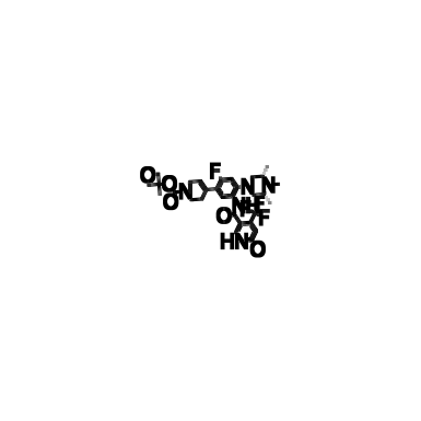 C[C@@H]1CN(c2cc(F)c(C3=CCN(C(=O)OC4(C)COC4)CC3)cc2NC(=O)c2c[nH]c(=O)cc2C(F)(F)F)C[C@H](C)N1C